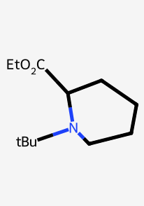 CCOC(=O)C1CCCCN1C(C)(C)C